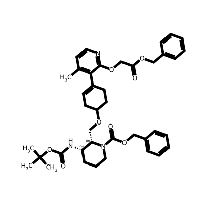 Cc1ccnc(OCC(=O)OCc2ccccc2)c1C1=CCC(OC[C@H]2[C@@H](NC(=O)OC(C)(C)C)CCCN2C(=O)OCc2ccccc2)CC1